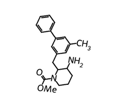 COC(=O)N1CCCC(N)C1Cc1cc(C)cc(-c2ccccc2)c1